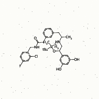 CC(Cc1cccc(CC(=O)NCc2ccc(F)cc2Cl)c1)NCC(O[Si](C)(C)C(C)(C)C)c1cc(O)cc(O)c1